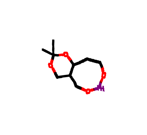 CC1(C)OCC2COPOCCC2O1